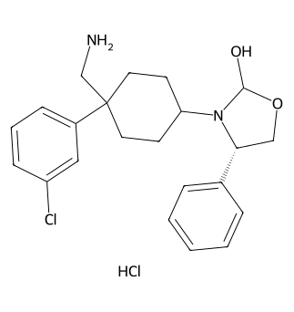 Cl.NCC1(c2cccc(Cl)c2)CCC(N2C(O)OC[C@@H]2c2ccccc2)CC1